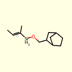 C/C=C(\C)[SiH2]OCC1CC2CCC1C2